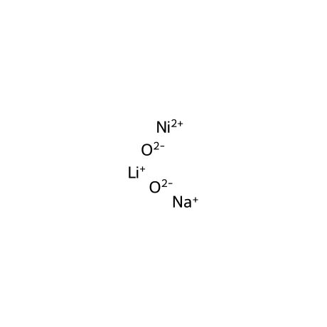 [Li+].[Na+].[Ni+2].[O-2].[O-2]